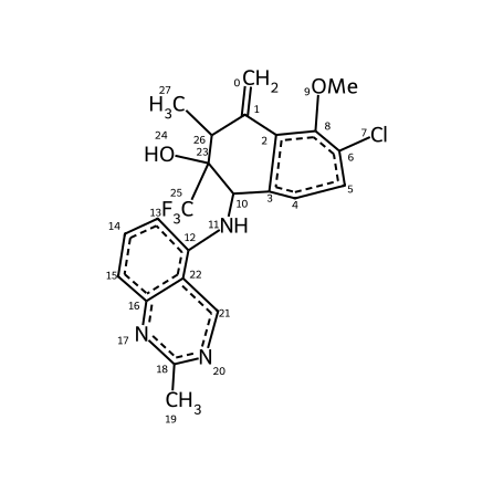 C=C1c2c(ccc(Cl)c2OC)C(Nc2cccc3nc(C)ncc23)C(O)(C(F)(F)F)C1C